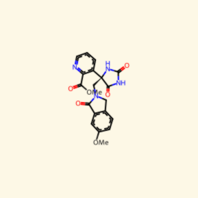 COC(=O)c1ncccc1[C@]1(CN2Cc3ccc(OC)cc3C2=O)NC(=O)NC1=O